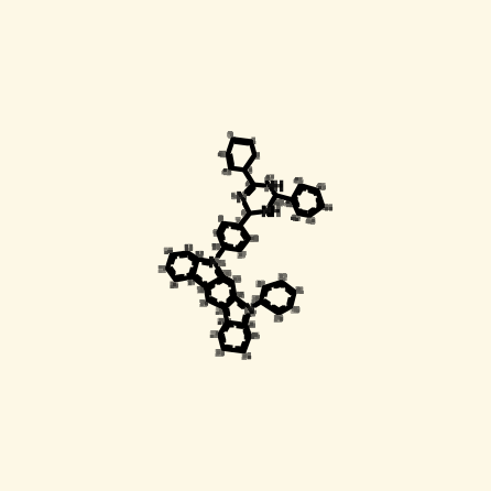 C1=CCC(C2=NC(c3ccc(-n4c5ccccc5c5cc6c7ccccc7n(-c7ccccc7)c6cc54)cc3)NC(c3ccccc3)N2)C=C1